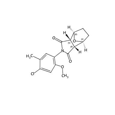 COc1cc(Cl)c(C)cc1N1C(=O)[C@@H]2[C@H](C1=O)[C@H]1CC[C@@H]2O1